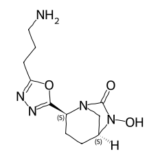 NCCCc1nnc([C@@H]2CC[C@H]3CN2C(=O)N3O)o1